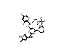 COC[C@H](Nc1nc(Nc2cc(C)[nH]n2)nc(N2CCOC[C@H]2CNS(C)(=O)=O)n1)c1ncc(F)cc1F